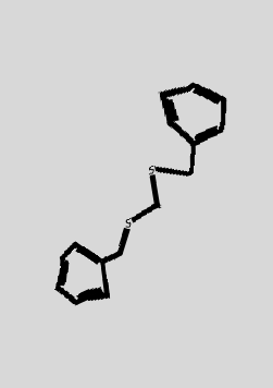 [C](SCc1ccccc1)SCc1ccccc1